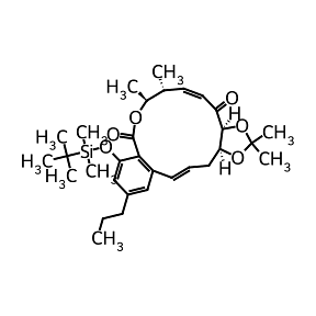 CCCc1cc2c(c(O[Si](C)(C)C(C)(C)C)c1)C(=O)O[C@@H](C)[C@H](C)/C=C\C(=O)[C@H]1OC(C)(C)O[C@H]1C/C=C/2